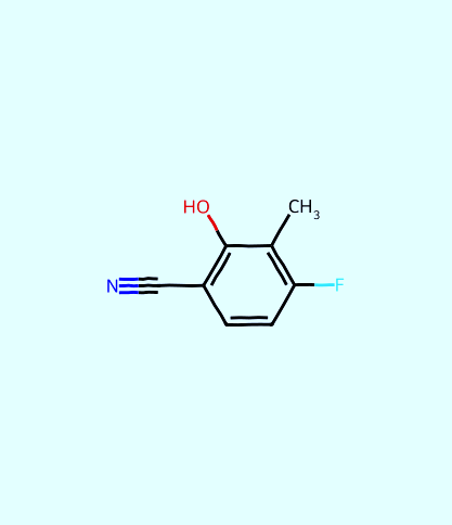 Cc1c(F)ccc(C#N)c1O